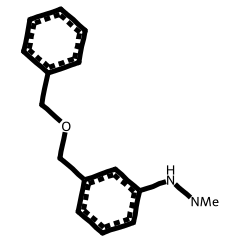 CNNc1cccc(COCc2ccccc2)c1